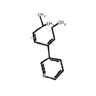 CC/C=C(\C=C/C(C)C)c1cccnc1